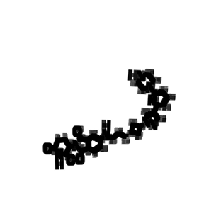 O=C1CCC(N2C(=O)c3ccc(NCCC[C@H]4C[C@H](n5cc(-c6cccc(N7CCNCC7)n6)cn5)C4)cc3C2=O)C(=O)N1